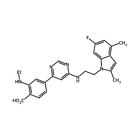 CCNc1cc(-c2cc(NCCn3c(C)cc4c(C)cc(F)cc43)ncn2)ccc1C(=O)O